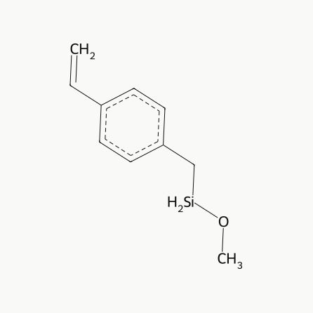 C=Cc1ccc(C[SiH2]OC)cc1